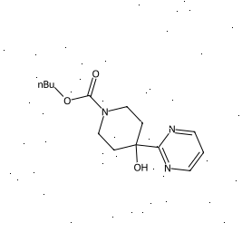 CCCCOC(=O)N1CCC(O)(c2ncccn2)CC1